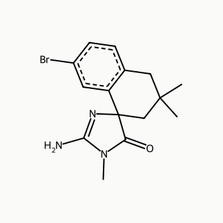 CN1C(=O)C2(CC(C)(C)Cc3ccc(Br)cc32)N=C1N